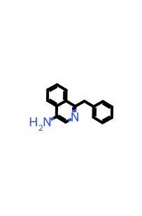 Nc1cnc(Cc2ccccc2)c2ccccc12